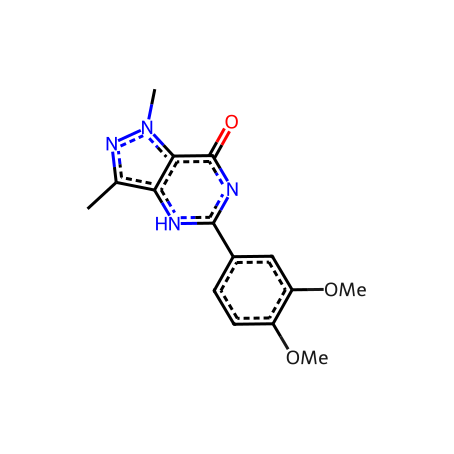 COc1ccc(-c2nc(=O)c3c([nH]2)c(C)nn3C)cc1OC